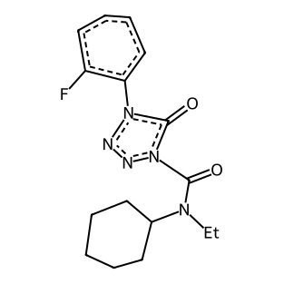 CCN(C(=O)n1nnn(-c2ccccc2F)c1=O)C1CCCCC1